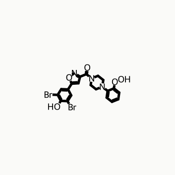 O=C(c1cc(-c2cc(Br)c(O)c(Br)c2)on1)N1CCN(c2ccccc2OO)CC1